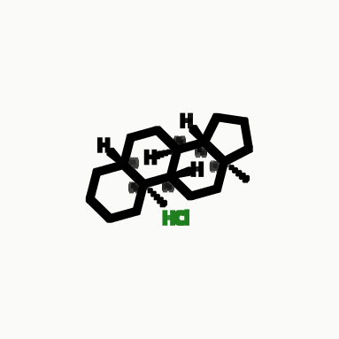 C[C@@]12CCC[C@H]1[C@@H]1CC[C@H]3CCCC[C@]3(C)[C@H]1CC2.Cl